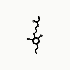 C=CC(=O)OCCOc1c(Br)cc(CCC)cc1Br